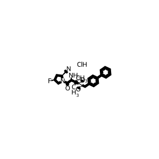 CC(C)([C@H](N)C(=O)N1C[C@@H](F)C[C@H]1C#N)S(=O)(=O)Cc1ccc(-c2ccccc2)cc1.Cl